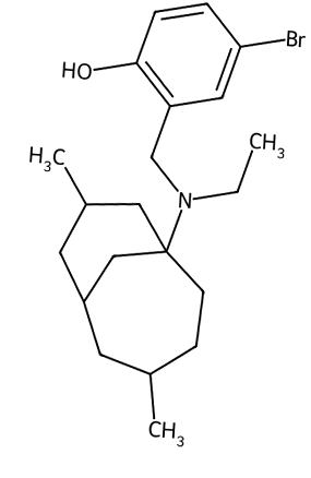 CCN(Cc1cc(Br)ccc1O)C12CCC(C)CC(CC(C)C1)C2